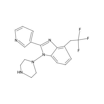 FC(F)(F)Cc1cccc2c1nc(-c1cccnc1)n2N1CCNCC1